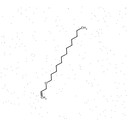 C=CCOCCCCCCCCCCCCC